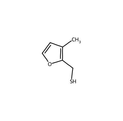 Cc1ccoc1CS